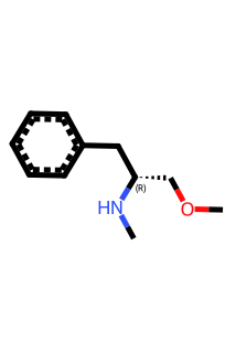 CN[C@@H](COC)Cc1ccccc1